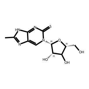 Cc1nc2cn([C@@H]3O[C@H](CO)C(O)[C@@H]3O)c(=S)nc2[nH]1